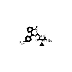 CCCCC(=O)[C@H](C(=O)NC1CN(C)c2ccccc2C(c2ccc(C(F)(F)F)cc2)=N1)C1CC1